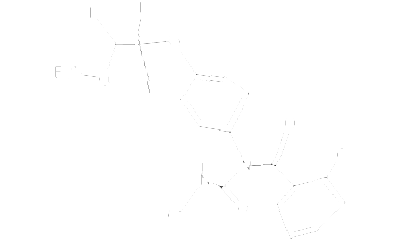 O=C(NCl)N(C(=O)c1ccccc1Cl)c1ccc(OC(F)(F)C(F)OC(F)(F)F)cc1